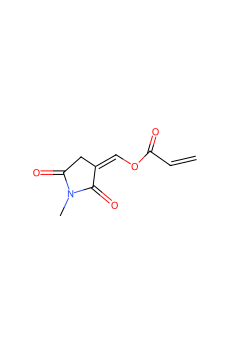 C=CC(=O)OC=C1CC(=O)N(C)C1=O